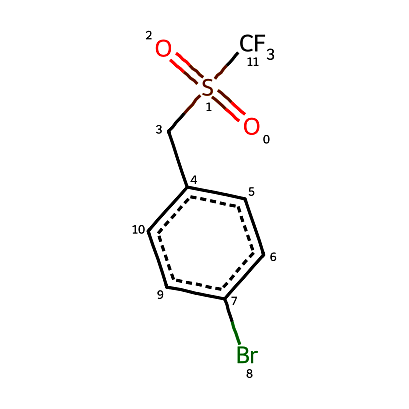 O=S(=O)(Cc1ccc(Br)cc1)C(F)(F)F